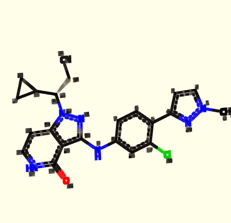 Cn1ccc(-c2ccc(Nc3nn([C@@H](CC#N)C4CC4)c4cc[nH]c(=O)c34)cc2Cl)n1